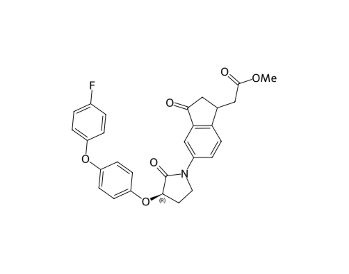 COC(=O)CC1CC(=O)c2cc(N3CC[C@@H](Oc4ccc(Oc5ccc(F)cc5)cc4)C3=O)ccc21